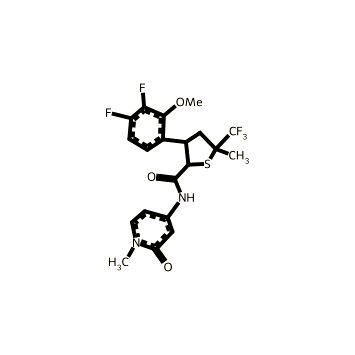 COc1c(C2CC(C)(C(F)(F)F)SC2C(=O)Nc2ccn(C)c(=O)c2)ccc(F)c1F